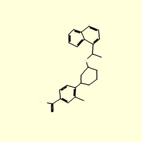 COC(=O)c1ccc(C2CCCC(NC(C)c3cccc4ccccc34)C2)c(F)c1